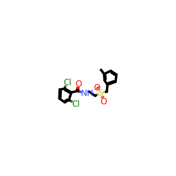 Cc1cccc(CS(=O)(=O)CCNC(=O)c2c(Cl)cccc2Cl)c1